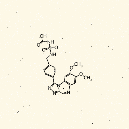 COc1cc2ncc3nnc(-c4ccc(CNS(=O)(=O)NC(=O)O)cc4)n3c2cc1OC